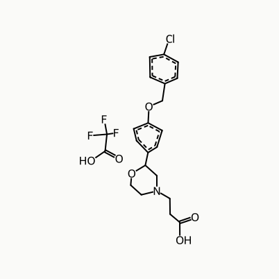 O=C(O)C(F)(F)F.O=C(O)CCN1CCOC(c2ccc(OCc3ccc(Cl)cc3)cc2)C1